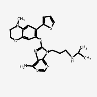 CC(C)NCCCn1c(Sc2cc3c(cc2-c2cccs2)N(C)CCO3)nc2c(N)ncnc21